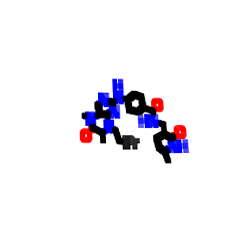 Cc1ccc(CNC(=O)c2ccc(Nc3ncc4c(n3)N(CCC(C)C)C(C)C(=O)N4C)cc2)c(=O)[nH]1